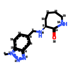 Cn1nnc2cc(CN[C@@H]3CCCCNC3=O)ccc21